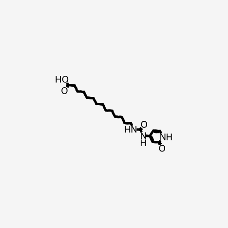 O=C(O)CCCCCCCCCCCCCNC(=O)Nc1cc[nH]c(=O)c1